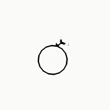 CC1(C(=N)N)CCCCCCCCCCCCCCC1